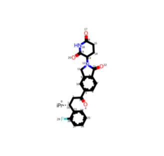 CC(C)[C@H](CC(=O)c1ccc2c(c1)CN(C1CCC(=O)NC1=O)C2=O)c1ccccc1F